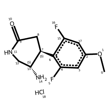 COc1cc(F)c([C@@H]2CC(=O)NC[C@H]2N)c(F)c1.Cl